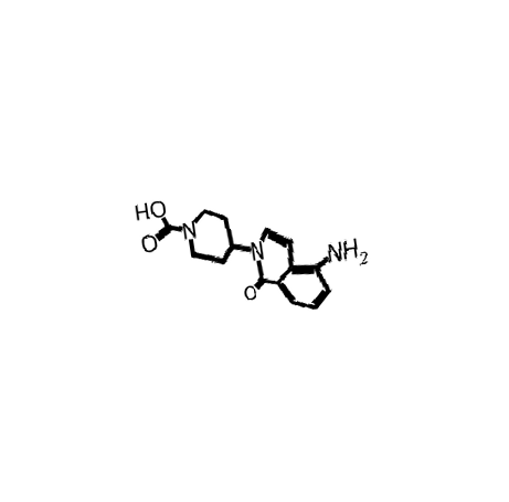 Nc1cccc2c(=O)n(C3CCN(C(=O)O)CC3)ccc12